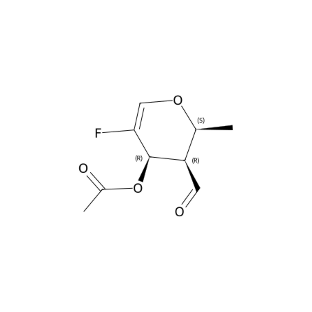 CC(=O)O[C@H]1C(F)=CO[C@@H](C)[C@H]1C=O